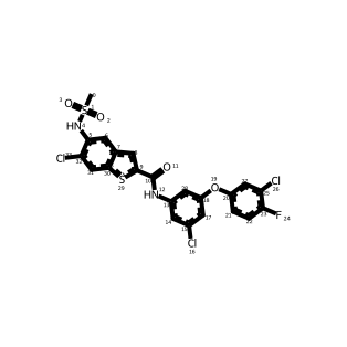 CS(=O)(=O)Nc1cc2cc(C(=O)Nc3cc(Cl)cc(Oc4ccc(F)c(Cl)c4)c3)sc2cc1Cl